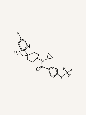 CC(c1ccc(C(=O)N(C2CC2)C2CCC(CN)(c3ccc(F)cn3)CC2)cc1)C(F)(F)F